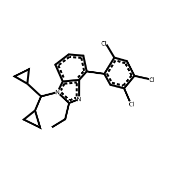 CCc1nc2c(-c3cc(Cl)c(Cl)cc3Cl)cccc2n1C(C1CC1)C1CC1